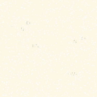 CCN1CCC2(c3cccc(OC)c3)C=C3NC(C(=O)N(CC)CC)C(C)C3CC2C1